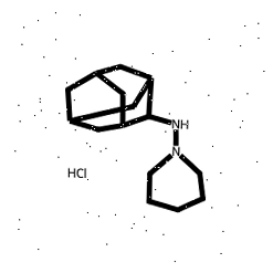 C1CCN(NC2C3CC4CC(C3)CC2C4)CC1.Cl